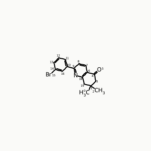 CC1(C)CC(=O)c2ccc(-c3cccc(Br)c3)nc2C1